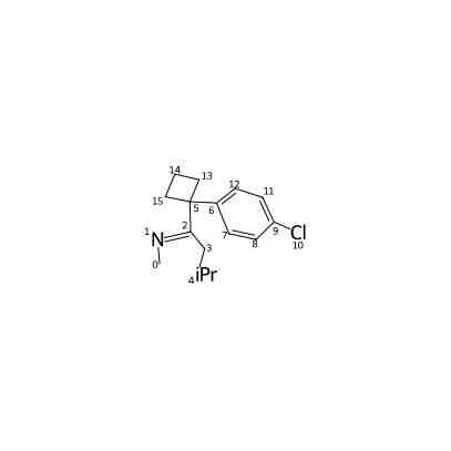 C/N=C(\CC(C)C)C1(c2ccc(Cl)cc2)CCC1